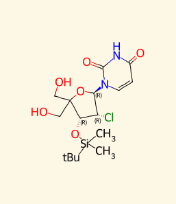 CC(C)(C)[Si](C)(C)O[C@H]1[C@@H](Cl)[C@H](n2ccc(=O)[nH]c2=O)OC1(CO)CO